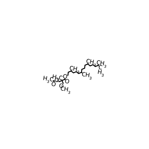 COCC(C)(COC(C)=O)C(=O)OCCC(C)CCCC(C)CCCC(C)CCCC(C)C